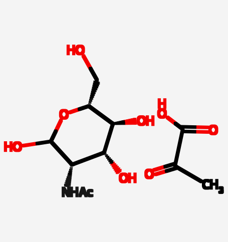 CC(=O)C(=O)O.CC(=O)N[C@@H]1C(O)O[C@H](CO)[C@@H](O)[C@@H]1O